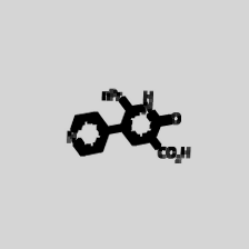 CCCc1[nH]c(=O)c(C(=O)O)cc1-c1ccncc1